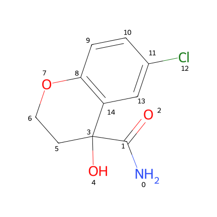 NC(=O)C1(O)CCOc2ccc(Cl)cc21